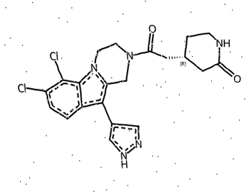 O=C1C[C@H](CC(=O)N2CCn3c(c(-c4cn[nH]c4)c4ccc(Cl)c(Cl)c43)C2)CCN1